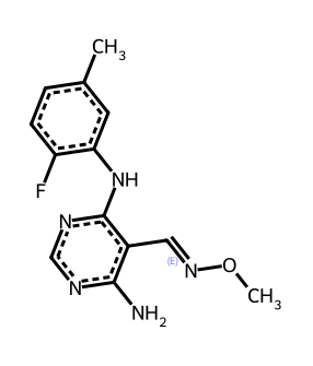 CO/N=C/c1c(N)ncnc1Nc1cc(C)ccc1F